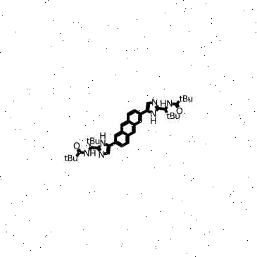 CC(C)(C)C(=O)NC(c1ncc(-c2ccc3cc4cc(-c5cnc([C@@H](NC(=O)C(C)(C)C)C(C)(C)C)[nH]5)ccc4cc3c2)[nH]1)C(C)(C)C